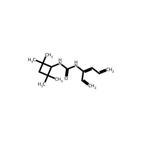 C=C/C=C(\C=C)NC(=O)NC1C(C)(C)CC1(C)C